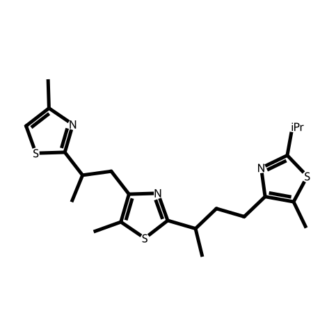 Cc1csc(C(C)Cc2nc(C(C)CCc3nc(C(C)C)sc3C)sc2C)n1